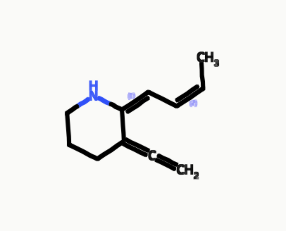 C=C=C1CCCN/C1=C/C=C\C